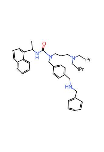 CC(C)CN(CCCN(Cc1ccc(CNCc2ccccc2)cc1)C(=O)NC(C)c1cccc2ccccc12)CC(C)C